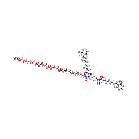 CCCOCCOCCOCCOCCOCCOCCOCCOCCOCCOCCOCCNC(=O)[C@@H](CCCCNC(=O)/C=C(C)/C=C/C=C(C)/C=C/C1=C(C)CCCC1(C)C)NC(=O)/C=C(C)/C=C/C=C(C)/C=C/C1=C(C)CCCC1(C)C